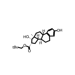 CC(C)(C)COC(=O)[C@H]1C[C@H]2[C@@H]3CCc4cc(O)ccc4[C@H]3CC[C@]2(C)[C@H]1O